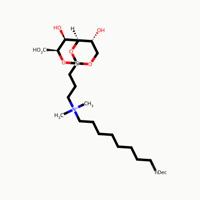 CCCCCCCCCCCCCCCCCC[N+](C)(C)CCC[Si]12OC[C@@H](O)[C@@H](O1)[C@H](O)[C@H](C(=O)O)O2